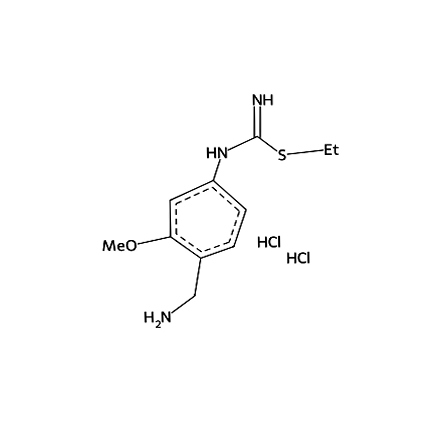 CCSC(=N)Nc1ccc(CN)c(OC)c1.Cl.Cl